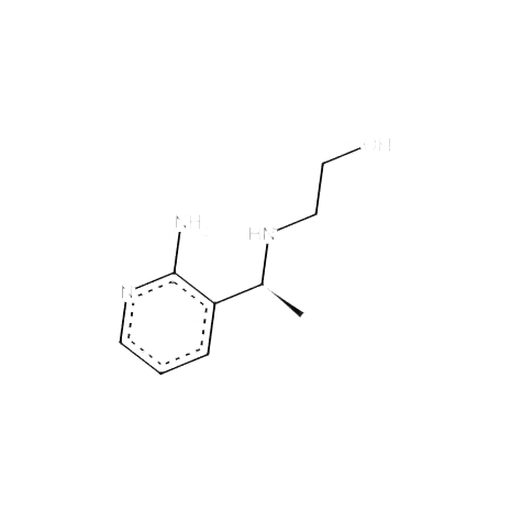 C[C@H](NCCO)c1cccnc1N